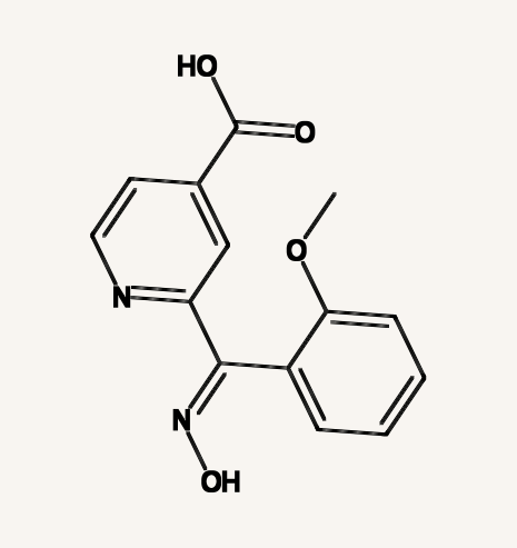 COc1ccccc1/C(=N\O)c1cc(C(=O)O)ccn1